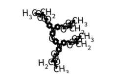 C=C(COC(=O)Cc1ccc(N(c2ccc(CC(=O)OCC(=C)C(=O)OCC)cc2)c2ccc(Oc3ccc(N(c4ccc(CC(=O)OCC(=C)C(=O)OCC)cc4)c4ccc(CC(=O)OCC(=C)C(=O)OCC)cc4)cc3)cc2)cc1)C(=O)CCC